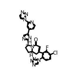 O=C1C=C(c2c(-n3cnnn3)ccc(Cl)c2F)C[C@H]2CC[C@@H](c3ncc(-c4ccnc(-n5ccnn5)c4)[nH]3)N12